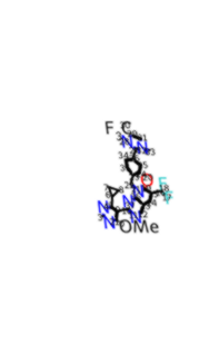 COc1ncnc(C2CC2)c1-c1ncc2cc(C(F)F)c(=O)n(Cc3ccc(-c4nc(C(F)(F)F)cn4C)cc3)c2n1